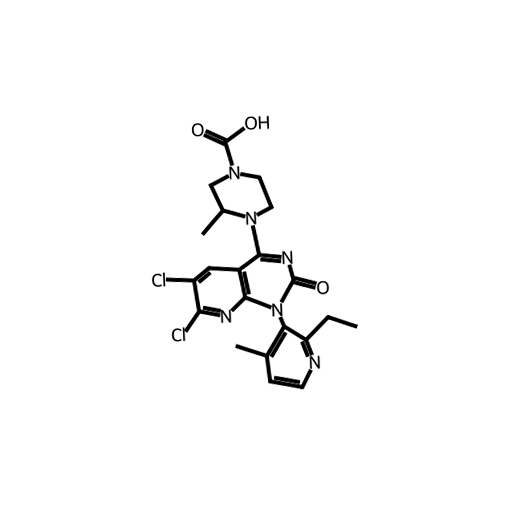 CCc1nccc(C)c1-n1c(=O)nc(N2CCN(C(=O)O)CC2C)c2cc(Cl)c(Cl)nc21